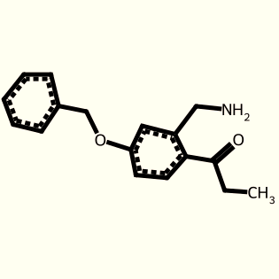 CCC(=O)c1ccc(OCc2ccccc2)cc1CN